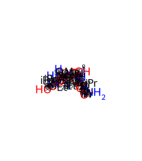 C/C=C/C[C@@H](C)[C@@H](O)[C@@H](C(=O)N[C@@H](CC)C(=O)N(C)[C@H](SCCCN(CC)CC)C(=O)N(C)[C@@H](CC(C)(C)OC)C(=O)NC(C(=O)N(C)[C@@H](CC(C)C)C(=O)N[C@H](C)CO)C(C)C)N(C)C(=O)[C@H](C(C)C)N(C)C(=O)[C@H](CC(C)C)N(C)C(=O)[C@H](CC(C)C)N(C)C(=O)[C@@H](C)N